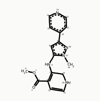 COC(=O)C1=C(Nc2cc(-c3ccncc3)nn2C)CNC=C1